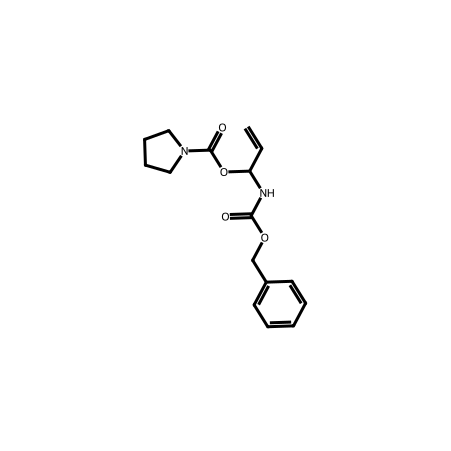 C=CC(NC(=O)OCc1ccccc1)OC(=O)N1CCCC1